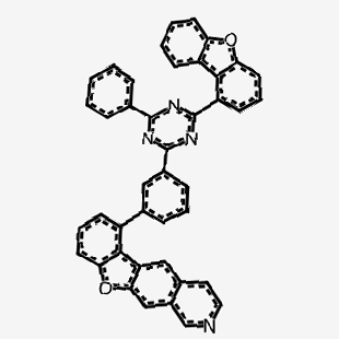 c1ccc(-c2nc(-c3cccc(-c4cccc5oc6cc7cnccc7cc6c45)c3)nc(-c3cccc4oc5ccccc5c34)n2)cc1